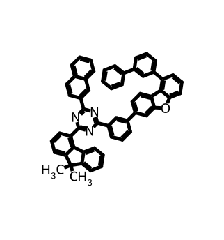 CC1(C)c2ccccc2-c2c(-c3nc(-c4cccc(-c5ccc6c(c5)oc5cccc(-c7cccc(-c8ccccc8)c7)c56)c4)nc(-c4ccc5ccccc5c4)n3)cccc21